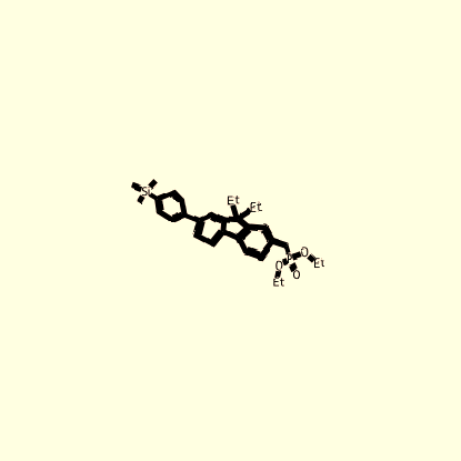 CCOP(=O)(Cc1ccc2c(c1)C(CC)(CC)c1cc(-c3ccc([Si](C)(C)C)cc3)ccc1-2)OCC